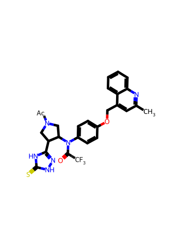 CC(=O)N1CC(c2n[nH]c(=S)[nH]2)C(N(C(=O)C(F)(F)F)c2ccc(OCc3cc(C)nc4ccccc34)cc2)C1